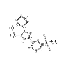 Cc1ccncc1-c1nc(-c2cccc(S(N)(=O)=O)c2)sc1C